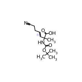 CC(C)(C)OC(=O)NC(C)(/C=C/CCC#N)C(=O)O